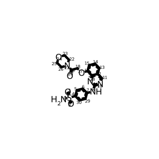 NS(=O)(=O)c1ccc(Nc2ncc3cccc(OCC(=O)N4CCOCC4)c3n2)cc1